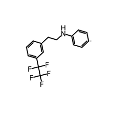 FC(F)(F)C(F)(F)c1cccc(CCNc2cc[c]cc2)c1